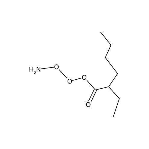 CCCCC(CC)C(=O)OOON